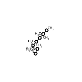 CC1=Nc2ccccc2-c2ccccc2N1c1cc(-c2c(C)cc(-c3ccc(-c4c(C)cc(-c5ccc(C)cc5)cc4C)cc3)cc2C)cc[n+]1C